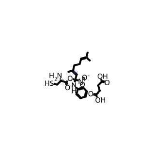 CC(C)=CCC/C(C)=C/C(Nc1ccccc1)(OC(=O)[C@@H](N)CS)[N+](=O)[O-].O=C(O)CCC(=O)O